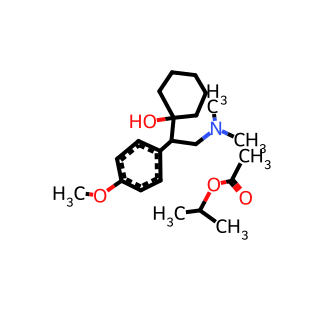 CC(=O)OC(C)C.COc1ccc(C(CN(C)C)C2(O)CCCCC2)cc1